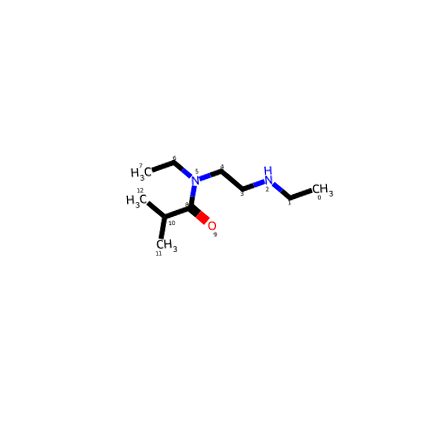 CCNCCN(CC)C(=O)C(C)C